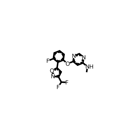 CNc1cc(Oc2cccc(F)c2-c2cc(C(F)F)no2)ncn1